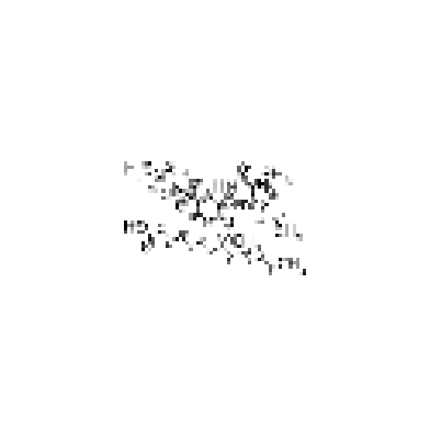 CCCCCCCCCCCCCC(=O)O.CCCc1nn(C)c2c(=O)[nH]c(-c3cc(S(=O)(=O)N4CCN(C)CC4)ccc3OCC)nc12